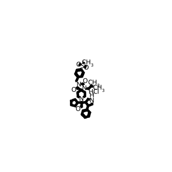 CC(C)CN1C(=O)N(Cc2ccc(S(C)(=O)=O)cc2)C(=O)C12CCN(C(C=O)(C1CCCC1)C1CNCC1c1ccccc1)CC2.Cl